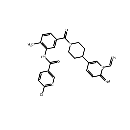 Cc1ccc(C(=O)N2CCC(c3ccc(=N)n(C=N)c3)CC2)cc1NC(=O)c1ccc(Cl)nc1